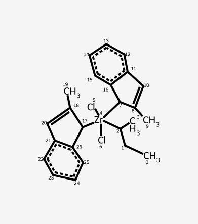 CC[CH](C)[Zr]([Cl])([Cl])([CH]1C(C)=Cc2ccccc21)[CH]1C(C)=Cc2ccccc21